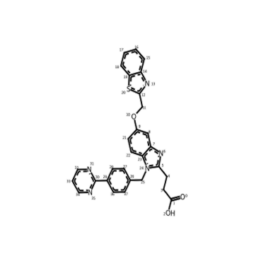 O=C(O)CCc1nc2cc(OCc3nc4ccccc4s3)ccc2n1Cc1ccc(-c2ncccn2)cc1